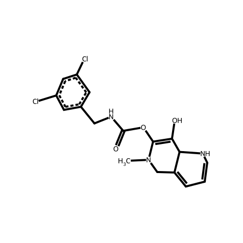 CN1CC2=CC=CNC2C(O)=C1OC(=O)NCc1cc(Cl)cc(Cl)c1